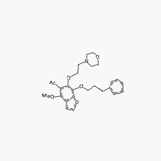 COc1c(C(C)=O)c(OCCN2CCOCC2)c(OCCCc2ccccc2)c2occc12